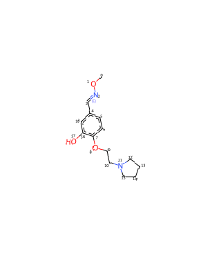 CO/N=C/c1ccc(OCCN2CCCC2)c(O)c1